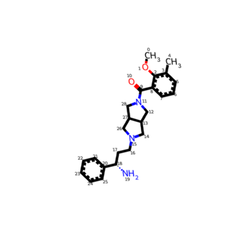 COc1c(C)cccc1C(=O)N1CC2CN(CC[C@H](N)c3ccccc3)CC2C1